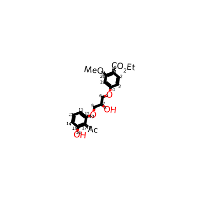 CCOC(=O)c1ccc(OCC(O)COc2cccc(O)c2C(C)=O)cc1OC